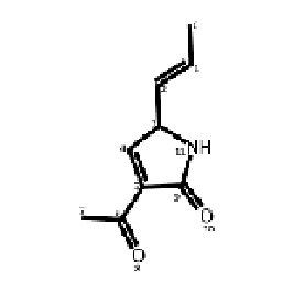 C/C=C/C1C=C(C(C)=O)C(=O)N1